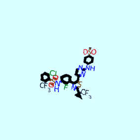 CS(=O)(=O)[C@H]1CC[C@H](Nc2nccc(-c3sc(C4(C(F)(F)F)CC4)nc3-c3cccc(NS(=O)(=O)c4c(Cl)cccc4C(F)(F)F)c3F)n2)CC1